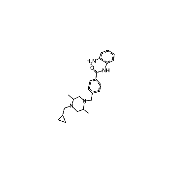 CC1CN(CC2CC2)C(C)CN1Cc1ccc(C(=O)Nc2ccccc2N)cc1